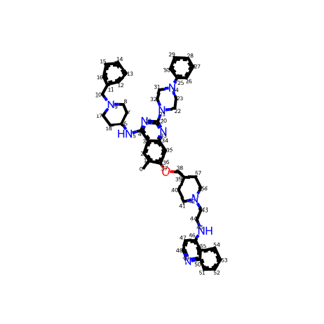 Cc1cc2c(NC3CCN(Cc4ccccc4)CC3)nc(N3CCN(c4ccccc4)CC3)nc2cc1OCC1CCN(CCNc2ccnc3ccccc23)CC1